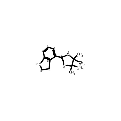 CC1(C)OB(c2cccc3c2CCO3)OC1(C)C